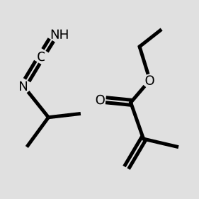 C=C(C)C(=O)OCC.CC(C)N=C=N